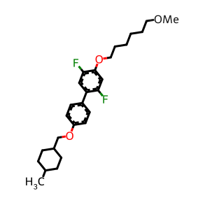 COCCCCCCOc1cc(F)c(-c2ccc(OCC3CCC(C)CC3)cc2)cc1F